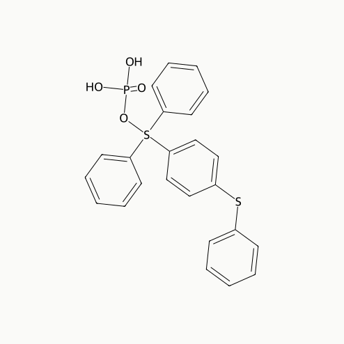 O=P(O)(O)OS(c1ccccc1)(c1ccccc1)c1ccc(Sc2ccccc2)cc1